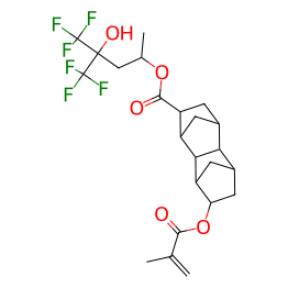 C=C(C)C(=O)OC1CC2CC1C1C3CC(CC3C(=O)OC(C)CC(O)(C(F)(F)F)C(F)(F)F)C21